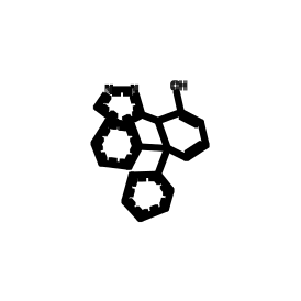 OC1=CC=CC(c2ccccc2)(c2ccccc2)C1c1nnco1